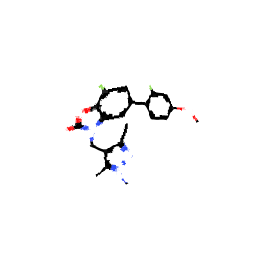 COc1ccc(-c2cc(F)c3oc(=O)n(Cc4c(C)nn(C)c4C)c3c2)c(F)c1